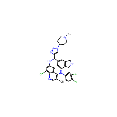 CC(C)(C)N1CCC(n2cc(C(Nc3cc(Cl)c4ncc(C#N)c(Nc5ccc(F)c(Cl)c5)c4c3)c3ccc4c(c3)CNC4)nn2)CC1